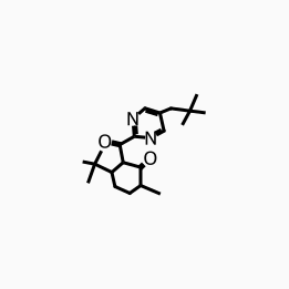 CC1CCC(C(C)(C)C)C(C(=O)c2ncc(CC(C)(C)C)cn2)C1=O